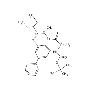 CCC(CC)[C@@H](Oc1cccc(-c2ccccc2)c1)[C@H](C)OC(=O)[C@H](C)NC(=O)OC(C)(C)C